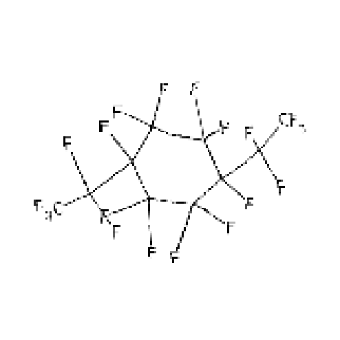 FC(F)(F)C(F)(F)C1(F)C(F)(F)C(F)(F)C(F)(C(F)(F)C(F)(F)F)C(F)(F)C1(F)F